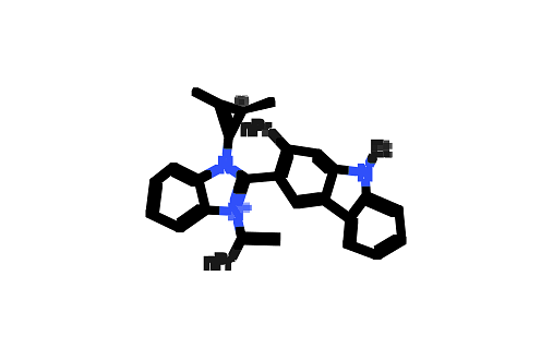 C=C(CCC)[n+]1c(-c2cc3c4ccccc4n(CC)c3cc2CCC)n(C2=C(C)[C@H]2C)c2ccccc21